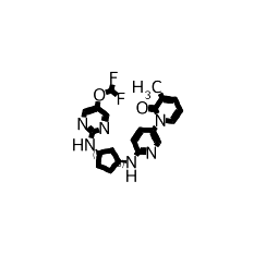 Cc1cccn(-c2ccc(N[C@H]3CC[C@H](Nc4ncc(OC(F)F)cn4)C3)nc2)c1=O